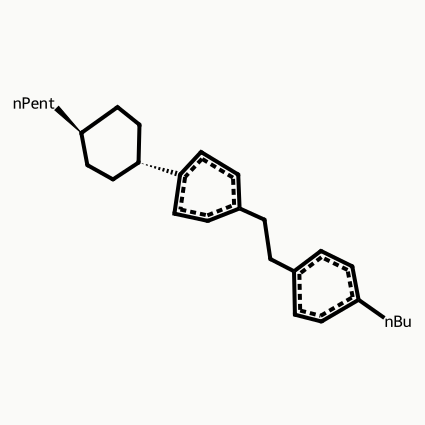 CCCCC[C@H]1CC[C@H](c2ccc(CCc3ccc(CCCC)cc3)cc2)CC1